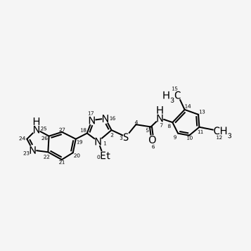 CCn1c(SCC(=O)Nc2ccc(C)cc2C)nnc1-c1ccc2nc[nH]c2c1